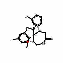 CO[C@H]1CNC(=O)C[C@@H](c2cccc(Cl)c2)[C@]12C(=O)Nc1cc(Br)ccc12